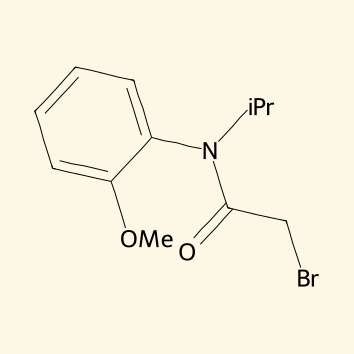 COc1ccccc1N(C(=O)CBr)C(C)C